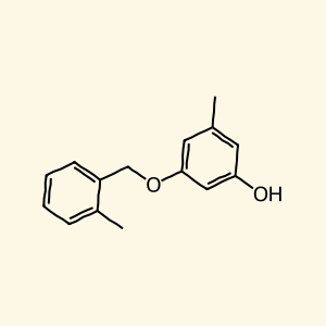 Cc1cc(O)cc(OCc2ccccc2C)c1